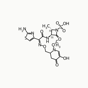 CON1C=C(O)C(=O)CC1CON=C(C(=O)N[C@@H]1C(=O)N(S(=O)(=O)O)[C@H]1C)c1csc(N)n1